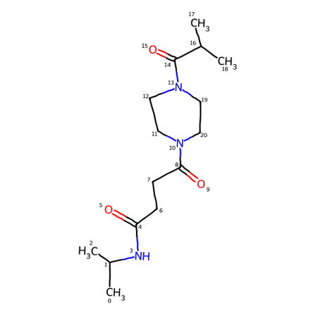 CC(C)NC(=O)CCC(=O)N1CCN(C(=O)C(C)C)CC1